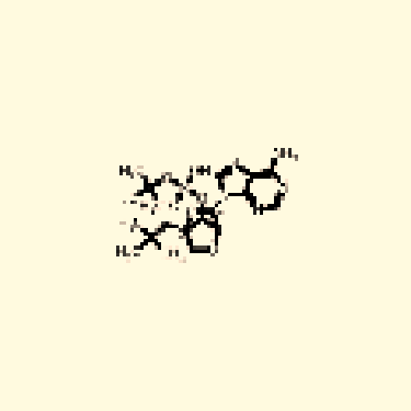 CC(C)(C)C[C@]12COC(C1OP(=O)(O)OC(C)(C)C)[C@H](n1cnc3c(N)ncnc31)O2